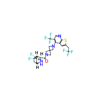 O=C([C@H]1N[C@H]2CC[C@@H]1C(F)(F)C2)N1CC2(C1)CN(c1c(C(F)(F)F)cnc3sc(CC(F)(F)F)cc13)C2